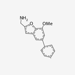 COc1cc(-c2cc[c]cc2)cc2cc(CN)oc12